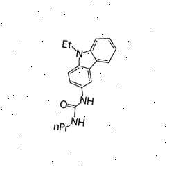 CCCNC(=O)Nc1ccc2c(c1)c1ccccc1n2CC